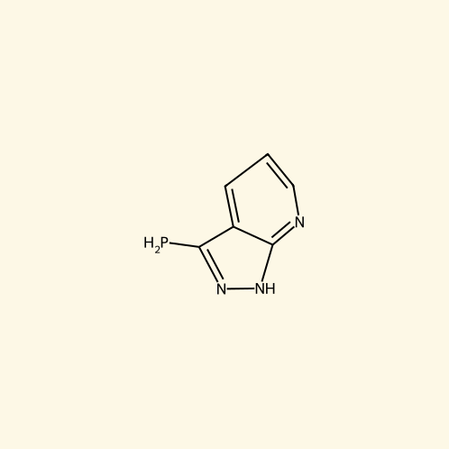 Pc1n[nH]c2ncccc12